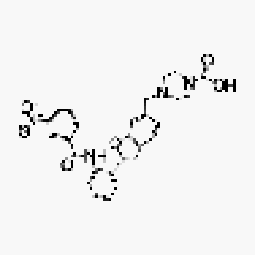 O=C(Nc1ccccc1-c1cc2ccc(CN3CCN(C(=O)O)CC3)cc2o1)c1cccc([N+](=O)[O-])c1